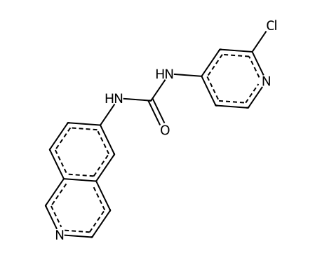 O=C(Nc1ccnc(Cl)c1)Nc1ccc2cnccc2c1